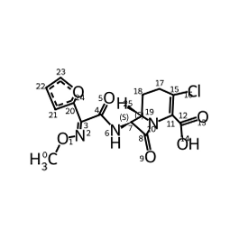 CON=C(C(=O)N[C@@H]1C(=O)N2C(C(=O)O)=C(Cl)CC[C@@H]12)c1ccco1